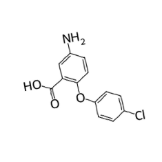 Nc1ccc(Oc2ccc(Cl)cc2)c(C(=O)O)c1